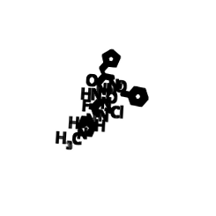 CN1C[C@@H]2C[C@H]1CN2c1nc(Cl)nc(NNC(=O)[C@@H](CC2CCCC2)CN(C=O)OCc2ccccc2)c1F